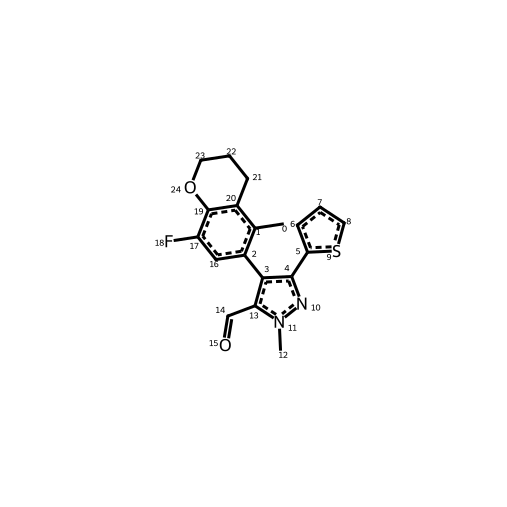 Cc1c(-c2c(-c3cccs3)nn(C)c2C=O)cc(F)c2c1CCCO2